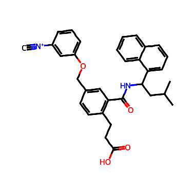 [C-]#[N+]c1cccc(OCc2ccc(CCC(=O)O)c(C(=O)NC(CC(C)C)c3cccc4ccccc34)c2)c1